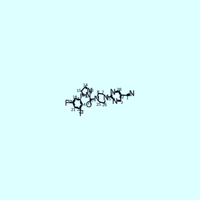 N#Cc1cnc(N2CCN(C(=O)N3N=CC[C@H]3c3cc(F)cc(F)c3)CC2)nc1